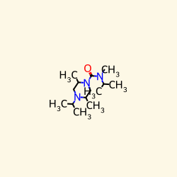 CC(C)N(C)C(=O)N1CC(C)N(C(C)C)CC1C